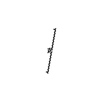 CC(C)CCCCCCCCCCCCCC[CH2][Ti](=[O])([CH2]CCCCCCCCCCCCCCC(C)C)([O]C(C)C)[O]C(C)C